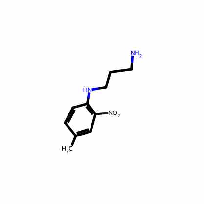 Cc1ccc(NCCCN)c([N+](=O)[O-])c1